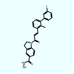 Cc1c(/C=C/C(=O)N2CCc3cc(C(=O)NO)ccc32)cccc1-c1cccc(F)c1